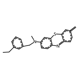 C=c1ccc2c(c1)Sc1cc(N(C)Cc3cccc(CC)c3)ccc1N=2